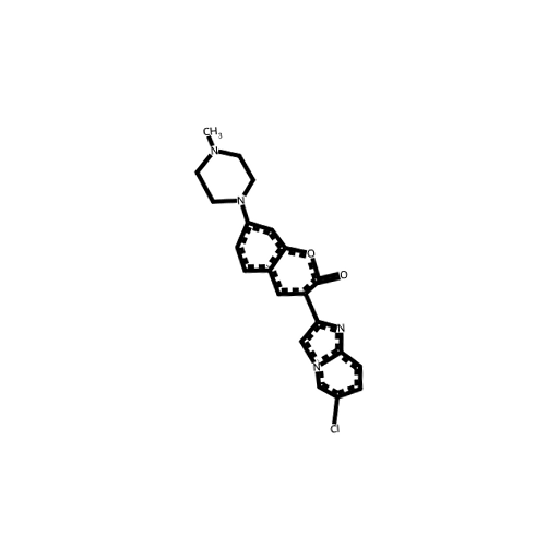 CN1CCN(c2ccc3cc(-c4cn5cc(Cl)ccc5n4)c(=O)oc3c2)CC1